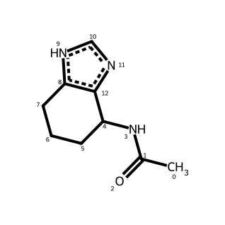 CC(=O)NC1CCCc2[nH]cnc21